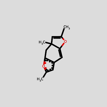 CC1=CC2(C)Cc3oc(C)cc3C=C2O1